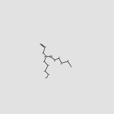 C=CCN(CCCCC)[N]CCCCC